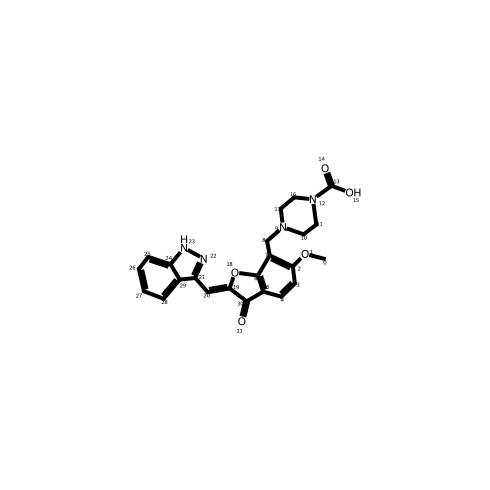 COc1ccc2c(c1CN1CCN(C(=O)O)CC1)OC(=Cc1n[nH]c3ccccc13)C2=O